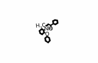 C/C(=C/C(=O)c1ccccc1)Nc1ccccc1Oc1ccccc1